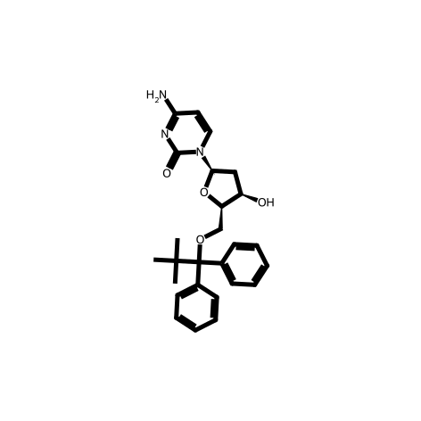 CC(C)(C)C(OC[C@H]1O[C@@H](n2ccc(N)nc2=O)C[C@H]1O)(c1ccccc1)c1ccccc1